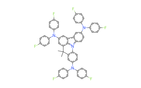 CC1(C)c2cc(N(c3ccc(F)cc3)c3ccc(F)cc3)ccc2-n2c3ccc(N(c4ccc(F)cc4)c4ccc(F)cc4)cc3c3cc(N(c4ccc(F)cc4)c4ccc(F)cc4)cc1c32